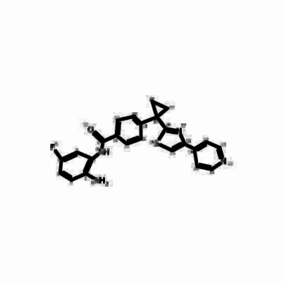 Nc1ccc(F)cc1NC(=O)c1ccc(C2(c3nc(-c4ccncc4)cs3)CC2)cc1